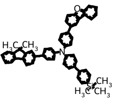 CC1(C)c2ccccc2-c2ccc(-c3ccc(N(c4ccc(-c5ccc([Si](C)(C)C)cc5)cc4)c4ccc(-c5ccc6oc7ccccc7c6c5)cc4)cc3)cc21